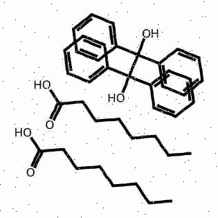 CCCCCCCC(=O)O.CCCCCCCC(=O)O.OC(c1ccccc1)(c1ccccc1)C(O)(c1ccccc1)c1ccccc1